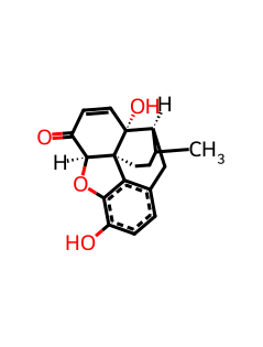 CC1CC[C@]23c4c5ccc(O)c4O[C@H]2C(=O)C=C[C@@]3(O)[C@H]1C5